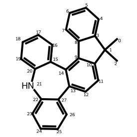 CC1(C)c2ccccc2-c2c1ccc1c2-c2ccccc2Nc2ccccc2-1